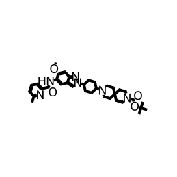 COc1cc2nn(C3CCC(N4CCC5(CCN(C(=O)OC(C)(C)C)CC5)CC4)CC3)cc2cc1NC(=O)c1cccc(C)n1